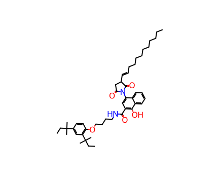 CCCCCCCCCCC=CC1CC(=O)N(c2cc(C(=O)NCCCCOc3ccc(C(C)(C)CC)cc3C(C)(C)CC)c(O)c3ccccc23)C1=O